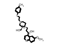 COc1ccc2nccc([C@@H](O)CC[C@@H]3CCN(CCSc4ccc(C)cc4)C[C@@H]3CO)c2c1